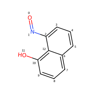 O=Nc1cccc2cccc(O)c12